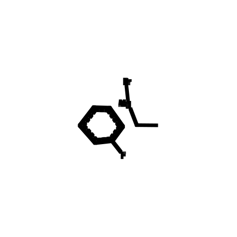 C[CH2][Mg][Br].Fc1ccccc1